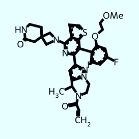 C=CC(=O)N1CCn2nc(-c3nc(N4CC5(CCNC(=O)C5)C4)c4ccsc4c3-c3c(F)cc(F)cc3OCCOC)cc2C1C